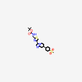 CC(C)(C)OC(=O)NCc1nc(-c2cnc3cc(-c4ccc(S(C)(=O)=O)cc4)ccn23)cs1